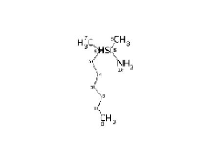 CCCCCCC(C)[SiH](C)N